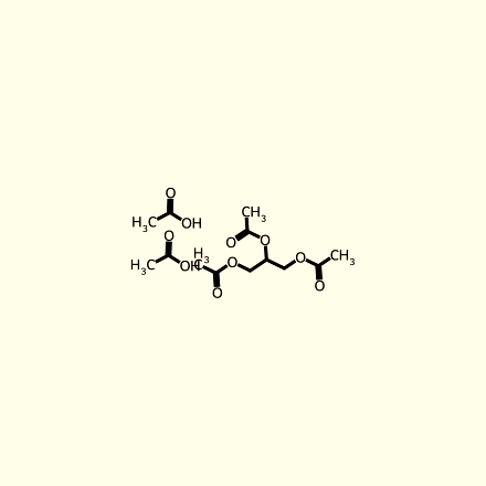 CC(=O)O.CC(=O)O.CC(=O)OCC(COC(C)=O)OC(C)=O